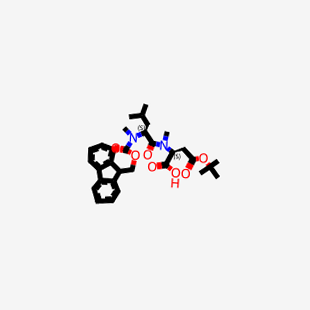 CC(C)C[C@@H](C(=O)N(C)[C@@H](CC(=O)OC(C)(C)C)C(=O)O)N(C)C(=O)OCC1c2ccccc2-c2ccccc21